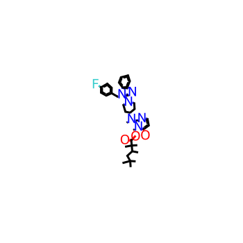 CC(CC(C)(C)C)C(C)(C)C(=O)OCn1c(N(C)C2CCN(c3nc4ccccc4n3Cc3ccc(F)cc3)CC2)nccc1=O